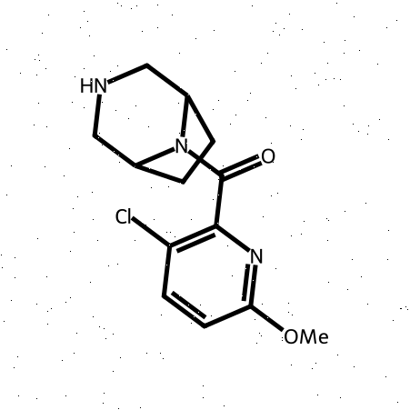 COc1ccc(Cl)c(C(=O)N2C3CCC2CNC3)n1